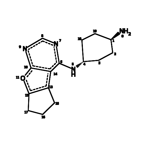 N[C@H]1CC[C@H](Nc2ncnc3oc4c(c23)CCC4)CC1